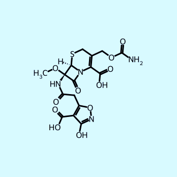 CO[C@@]1(NC(=O)Cc2onc(O)c2C(=O)O)C(=O)N2C(C(=O)O)=C(COC(N)=O)CS[C@@H]21